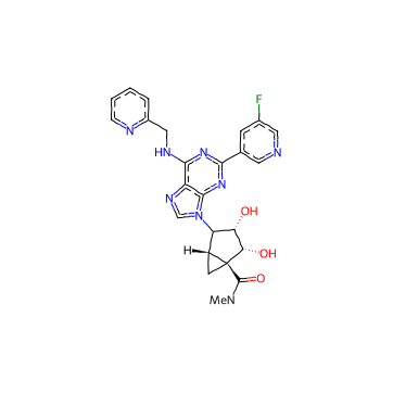 CNC(=O)[C@@]12C[C@@H]1C(n1cnc3c(NCc4ccccn4)nc(-c4cncc(F)c4)nc31)[C@H](O)[C@@H]2O